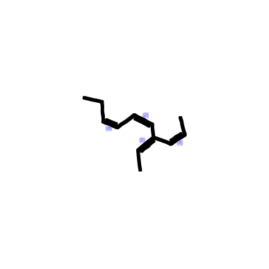 C\C=C/C(/C=C\C=C/CC)=C\C